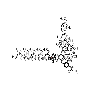 CC(=O)Nc1ccc(S[C@@H]2O[C@H](COS(=O)(=O)O)[C@@H](O[C@@H]3O[C@H](COS(=O)(=O)O)[C@@H](OS(=O)(=O)O)[C@H](OS(=O)(=O)O)[C@H]3OS(=O)(=O)O)[C@H](OS(=O)(=O)O)[C@H]2OS(=O)(=O)O)cc1.CCN(CC)CC.CCN(CC)CC.CCN(CC)CC.CCN(CC)CC.CCN(CC)CC.CCN(CC)CC.CCN(CC)CC